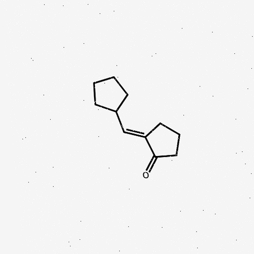 O=C1CCCC1=CC1CCCC1